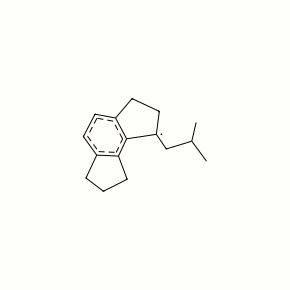 CC(C)C[C]1CCc2ccc3c(c21)CCC3